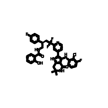 CC1(C)Cc2[nH]c(-c3ccnc(C(F)(F)C[C@@H](CNC(=O)c4ccccc4O)c4ccc(F)cc4)c3)c(Nc3cccc(F)c3Cl)c2C(=O)N1